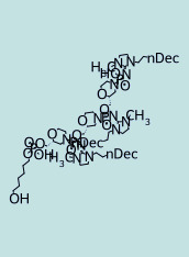 CCCCCCCCCCCCN1CCN(C)C1=NP(=O)(O)N1CCO[C@@H](COP(=O)(N=C2N(C)CCN2CCCCCCCCCCCC)N2CCO[C@@H](COP(=O)(/N=C3\N(C)CCN3CCCCCCCCCCCC)N3CCO[C@@H](COP(=O)(O)OCCCCCCO)C3)C2)C1